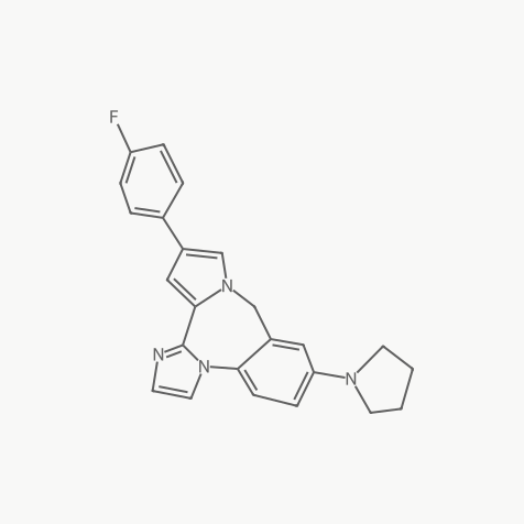 Fc1ccc(-c2cc3n(c2)Cc2cc(N4CCCC4)ccc2-n2ccnc2-3)cc1